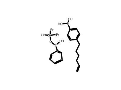 C=CCCCCc1ccc(B(O)O)cc1.CC(C)[Si](OB(O)c1ccccc1)(C(C)C)C(C)C